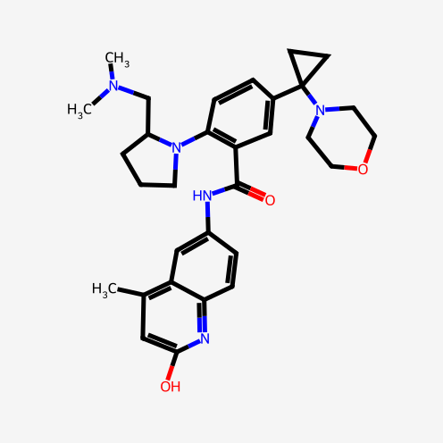 Cc1cc(O)nc2ccc(NC(=O)c3cc(C4(N5CCOCC5)CC4)ccc3N3CCCC3CN(C)C)cc12